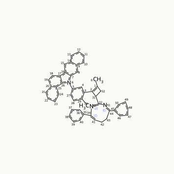 CC1=C(c2cc(-n3c4cc5ccccc5cc4c4ccc5ccccc5c43)ccc2C)C(C2=N/C(c3ccccc3)=C\CC/C(c3ccccc3)=N\2)C1